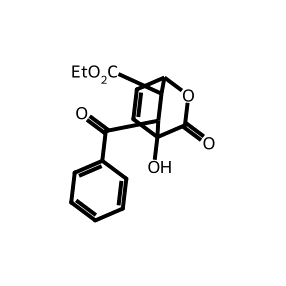 CCOC(=O)C1C2C=CC(O)(C(=O)O2)C1C(=O)c1ccccc1